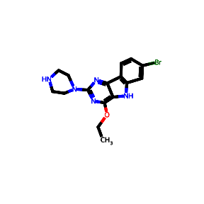 CCOc1nc(N2CCNCC2)nc2c1[nH]c1cc(Br)ccc12